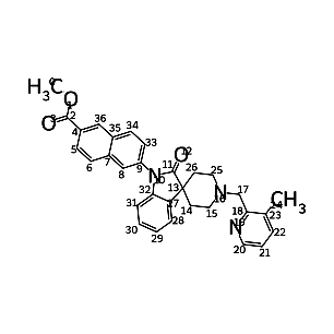 COC(=O)c1ccc2cc(N3C(=O)C4(CCN(Cc5ncccc5C)CC4)c4ccccc43)ccc2c1